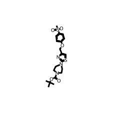 CC(C)(C)OC(=O)N1CCN(c2nc(COc3ccc(S(C)(=O)=O)cc3)cs2)CC1